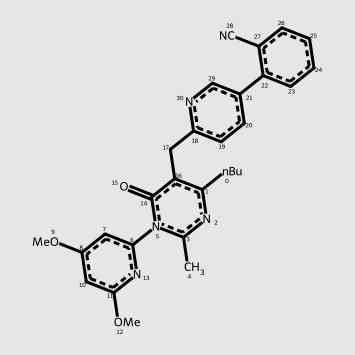 CCCCc1nc(C)n(-c2cc(OC)cc(OC)n2)c(=O)c1Cc1ccc(-c2ccccc2C#N)cn1